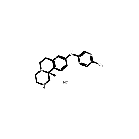 Cl.FC(F)(F)c1cnc(Nc2ccc3c(c2)CCN2CCNC[C@@H]32)cn1